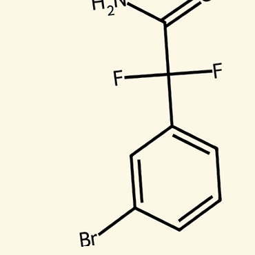 NC(=O)C(F)(F)c1cccc(Br)c1